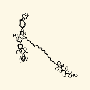 CC(Cn1cnnn1)Oc1cc(-c2cnc(Nc3cn(C4CCC(N5CCOCC5)CC4)nc3OCCCCCCCCCCCCCCCCCCC(=O)C(=O)C(=O)C(=O)C(=O)C(=O)C(=O)C=O)nc2)ccc1C#N